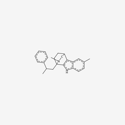 Cc1ccc2[nH]c3c(c2c1)C1CCC3(CC(C)c2ccccc2)N(C)C1